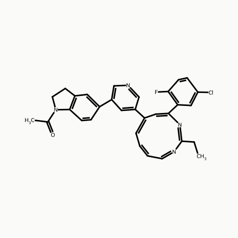 CCc1nccccc(-c2cncc(-c3ccc4c(c3)CCN4C(C)=O)c2)cc(-c2cc(Cl)ccc2F)n1